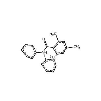 Cc1cc(C)c(C(=O)[SiH](c2ccccc2)c2ccccc2)c(C)c1